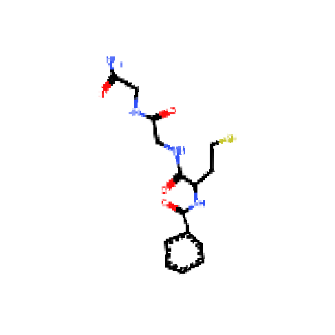 NC(=O)CNC(=O)CNC(=O)C(CCS)NC(=O)c1ccccc1